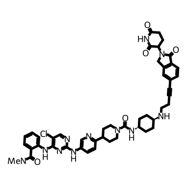 CNC(=O)c1ccccc1Nc1nc(Nc2ccc(C3CCN(C(=O)N[C@H]4CC[C@H](NCCC#Cc5ccc6c(c5)CN(C5CCC(=O)NC5=O)C6=O)CC4)CC3)nc2)ncc1Cl